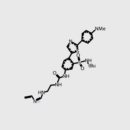 C=C/N=C\NCCNC(=O)Nc1ccc(-c2cnc(-c3ccc(NC)cc3)s2)c(S(=O)(=O)NC(C)(C)C)c1